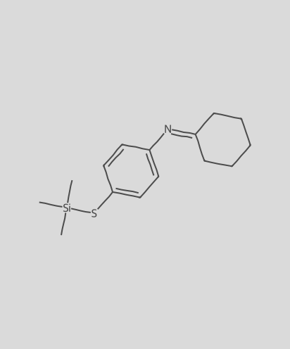 C[Si](C)(C)Sc1ccc(N=C2CCCCC2)cc1